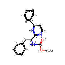 CC(C)(C)OC(=O)N[C@@H](Cc1ccccc1)c1nccc(-c2ccccc2)n1